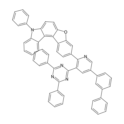 c1ccc(-c2cccc(-c3cnc(-c4ccc5c(c4)oc4ccc6c(c7ccccc7n6-c6ccccc6)c45)c(-c4nc(-c5ccccc5)nc(-c5ccccc5)n4)c3)c2)cc1